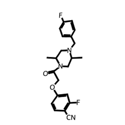 CC1CN(C(=O)COc2ccc(C#N)c(F)c2)C(C)CN1Cc1ccc(F)cc1